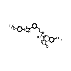 Cc1ccc(N2C(=O)CS/C2=N\C(O)NCCc2cccc(-c3ncn(-c4ccc(OC(F)(F)F)cc4)n3)c2)c(C(C)C)c1